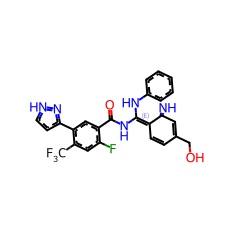 N=C1C=C(CO)C=C/C1=C(\NC(=O)c1cc(-c2cc[nH]n2)c(C(F)(F)F)cc1F)Nc1ccccc1